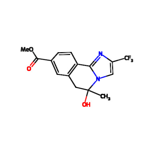 COC(=O)c1ccc2c(c1)CC(C)(O)n1cc(C(F)(F)F)nc1-2